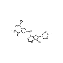 CCn1c(-c2cnc(C)nc2)nc2c(NC3C[C@@H](C(N)=O)N(C(=O)C4CC4)C3)ncnc21